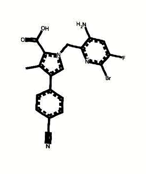 Cc1c(-c2ccc(C#N)cc2)cn(Cc2nc(Br)c(F)cc2N)c1C(=O)O